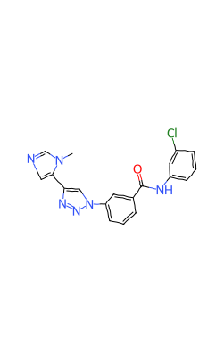 Cn1cncc1-c1cn(-c2cccc(C(=O)Nc3cccc(Cl)c3)c2)nn1